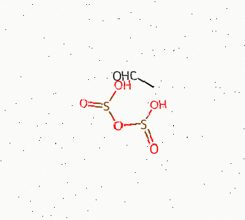 CC=O.O=S(O)OS(=O)O